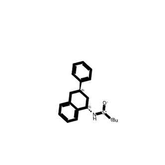 CC(C)(C)[S+]([O-])N[C@H]1C[C@H](c2ccccc2)Cc2ccccc21